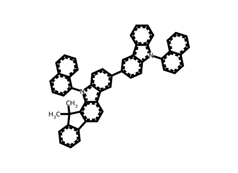 CC1(C)c2ccccc2-c2ccc3c4cc(-c5ccc6c(c5)c5ccccc5n6-c5cccc6ccccc56)ccc4n(-c4cccc5ccccc45)c3c21